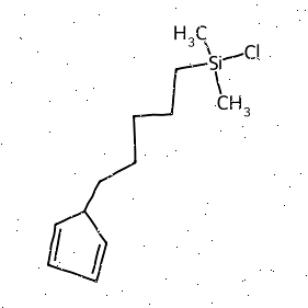 C[Si](C)(Cl)CCCCCC1C=CC=C1